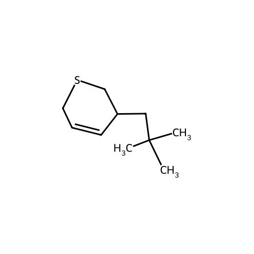 CC(C)(C)CC1C=CCSC1